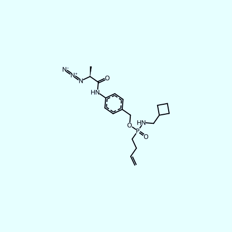 C=CCCP(=O)(NCC1CCC1)OCc1ccc(NC(=O)[C@H](C)N=[N+]=[N-])cc1